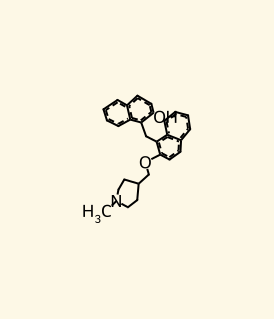 CN1CCC(COc2ccc3ccccc3c2Cc2c(O)ccc3ccccc23)CC1